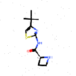 CC(C)(C)c1csc(NC(=O)[C@@H]2CCN2)n1